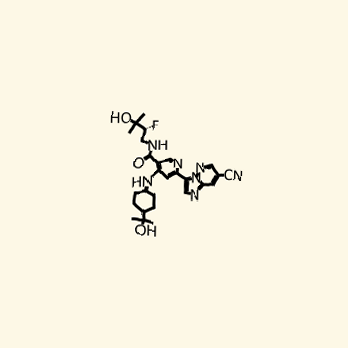 CC(C)(O)C1CCC(Nc2cc(-c3cnc4cc(C#N)cnn34)ncc2C(=O)NC[C@@H](F)C(C)(C)O)CC1